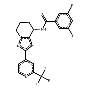 O=C(N[C@H]1CCCn2nc(-c3ccnc(C(F)(F)F)c3)nc21)c1cc(F)cc(F)c1